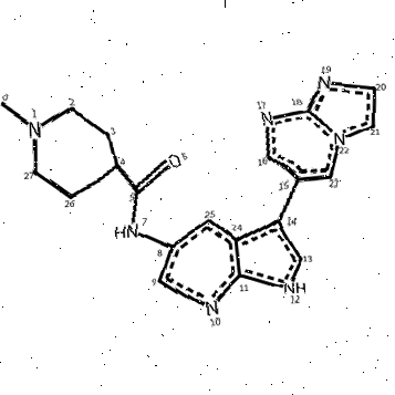 CN1CCC(C(=O)Nc2cnc3[nH]cc(-c4cnc5nccn5c4)c3c2)CC1